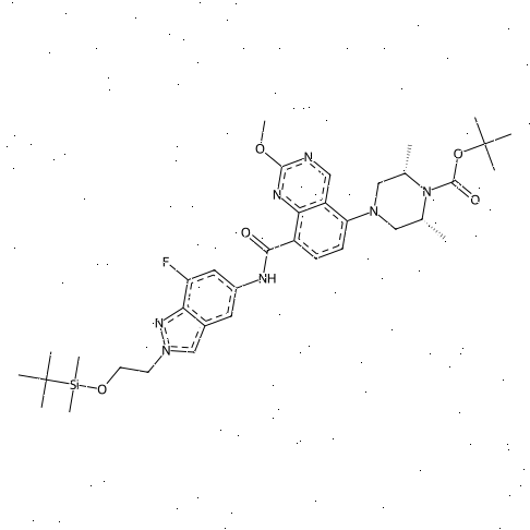 COc1ncc2c(N3C[C@@H](C)N(C(=O)OC(C)(C)C)[C@@H](C)C3)ccc(C(=O)Nc3cc(F)c4nn(CCO[Si](C)(C)C(C)(C)C)cc4c3)c2n1